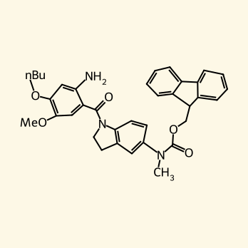 CCCCOc1cc(N)c(C(=O)N2CCc3cc(N(C)C(=O)OCC4c5ccccc5-c5ccccc54)ccc32)cc1OC